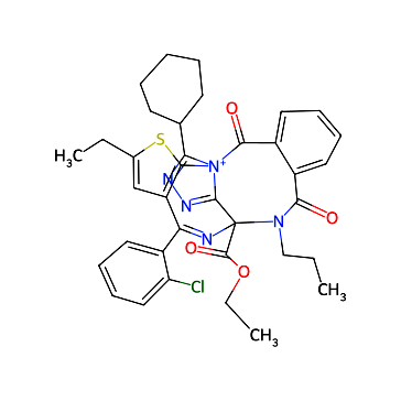 CCCN1C(=O)c2ccccc2C(=O)[N+]23C(C4CCCCC4)=NN=C2C1(C(=O)OCC)N=C(c1ccccc1Cl)c1cc(CC)sc13